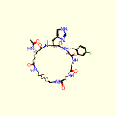 CC(=O)N[C@H]1CCC(=O)NCCCCNC(=O)CNC(=O)CNC(=O)[C@@H](Cc2ccc(F)cc2)NC(=O)[C@H](Cc2c[nH]cn2)NC1=O